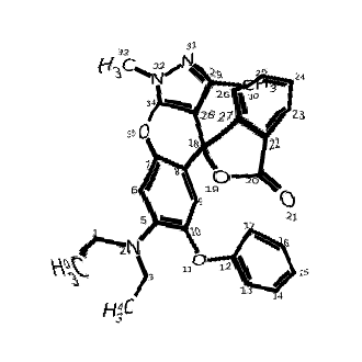 CCN(CC)c1cc2c(cc1Oc1ccccc1)C1(OC(=O)c3ccccc31)c1c(C)nn(C)c1O2